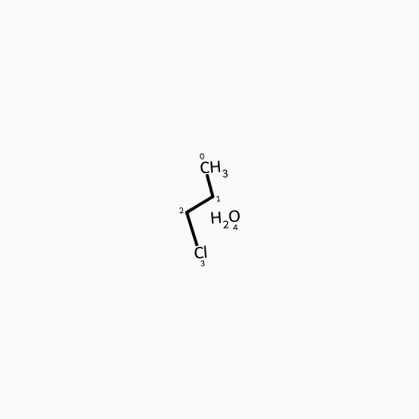 CCCCl.O